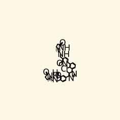 COc1cc(-c2ncnc(-c3cccc(-c4ccc(CNC[C@H]5CCC(=O)N5)c(OC)n4)c3Cl)c2C)ccc1CNC[C@H]1CCC(=O)N1